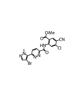 COC(=O)c1cc(C#N)c(Cl)cc1NC(=O)c1ccc(-c2c(Br)cnn2C)nn1